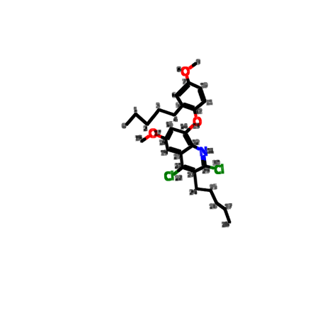 CCCCCc1cc(OC)ccc1Oc1cc(OC)cc2c(Cl)c(CCCCC)c(Cl)nc12